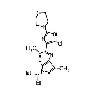 CCC(CC)n1cc(C)c2nc(-c3nc(N4CCOCC4)oc3Cl)c(C)cc21